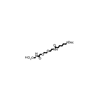 CCCCCCCCCCCCCCCC(=O)NCCOCCOCC(=O)NCC(=O)O